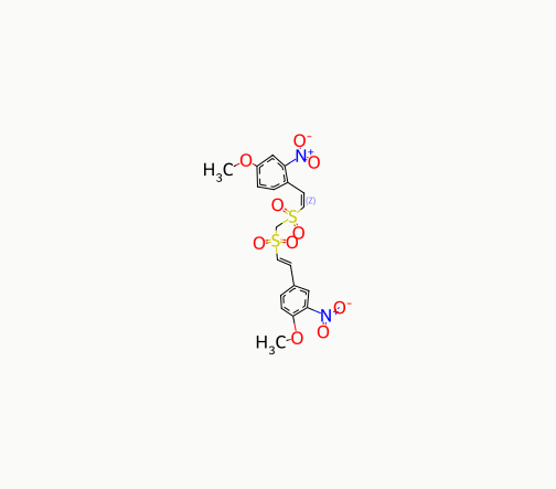 COc1ccc(/C=C\S(=O)(=O)CS(=O)(=O)C=Cc2ccc(OC)c([N+](=O)[O-])c2)c([N+](=O)[O-])c1